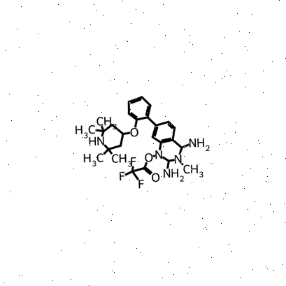 CN1C(N)c2ccc(-c3ccccc3OC3CC(C)(C)NC(C)(C)C3)cc2N(OC(=O)C(F)(F)F)C1N